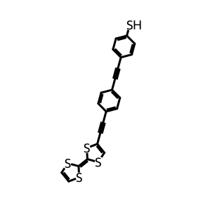 Sc1ccc(C#Cc2ccc(C#CC3=CSC(=C4SC=CS4)S3)cc2)cc1